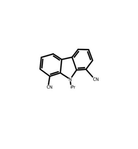 CC(C)n1c2c(C#N)cccc2c2cccc(C#N)c21